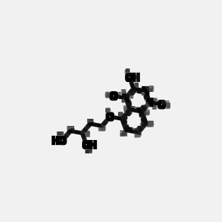 [O-][n+]1nc(O)[n+]([O-])c2c(OCCC(O)CO)cccc21